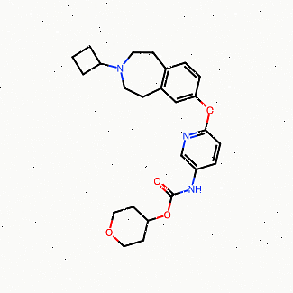 O=C(Nc1ccc(Oc2ccc3c(c2)CCN(C2CCC2)CC3)nc1)OC1CCOCC1